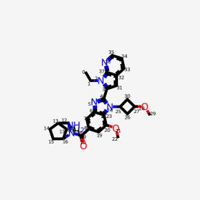 CCn1c(-c2nc3cc(C(=O)N4CC5CCC4[C@@H]5N)cc(OC)c3n2C2CC(OC)C2)cc2cccnc21